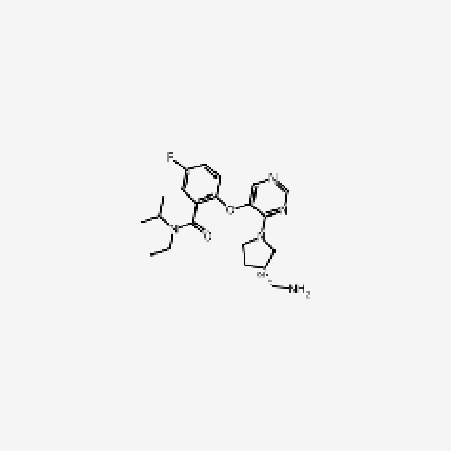 CCN(C(=O)c1cc(F)ccc1Oc1cncnc1N1CC[C@@H](CN)C1)C(C)C